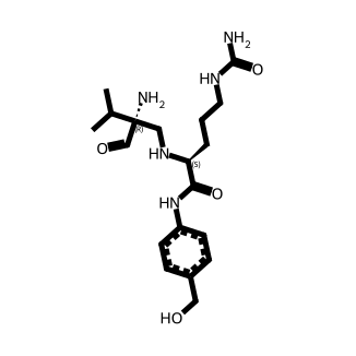 CC(C)[C@](N)(C=O)CN[C@@H](CCCNC(N)=O)C(=O)Nc1ccc(CO)cc1